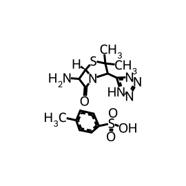 CC1(C)S[C@H]2C(N)C(=O)N2C1c1nnn[nH]1.Cc1ccc(S(=O)(=O)O)cc1